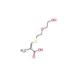 CC(=CSCCOCCO)C(=O)O